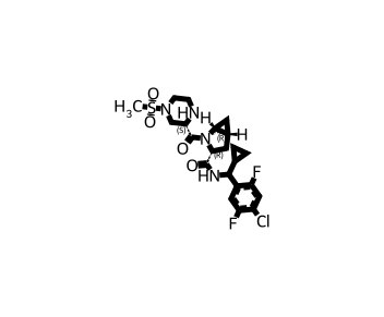 CS(=O)(=O)N1CCN[C@H](C(=O)N2[C@@H](C(=O)NC(c3cc(F)c(Cl)cc3F)C3CC3)C[C@H]3C[C@H]32)C1